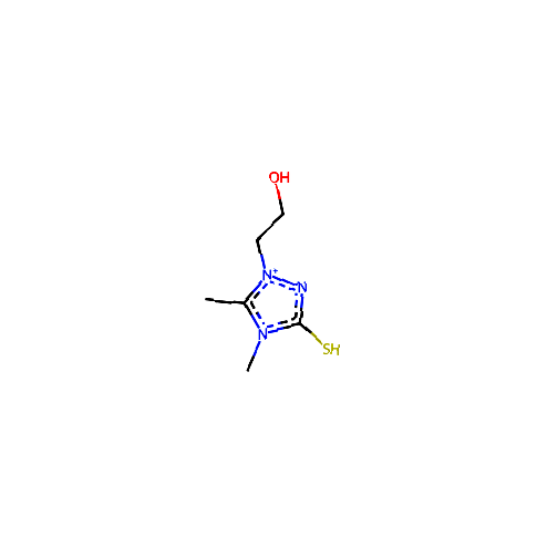 Cc1n(C)c(S)n[n+]1CCO